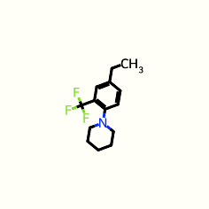 CCc1ccc(N2CCCCC2)c(C(F)(F)F)c1